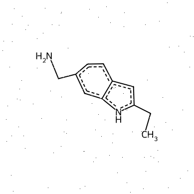 CCc1cc2ccc(CN)cc2[nH]1